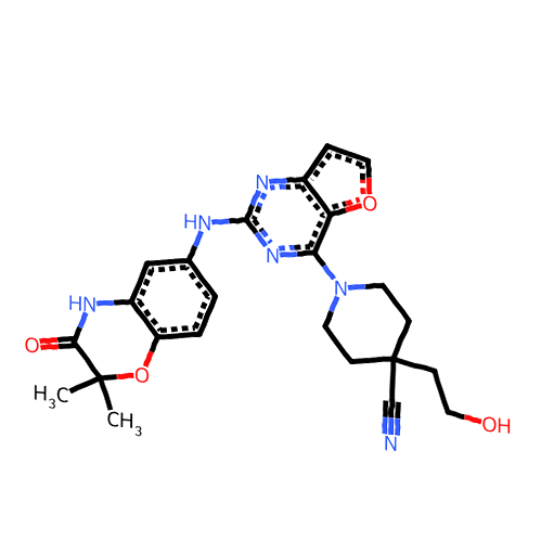 CC1(C)Oc2ccc(Nc3nc(N4CCC(C#N)(CCO)CC4)c4occc4n3)cc2NC1=O